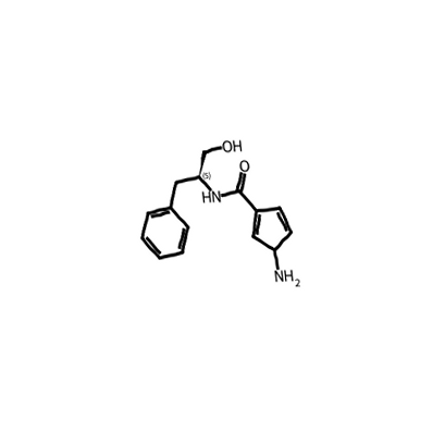 NC1C=CC(C(=O)N[C@H](CO)Cc2ccccc2)=C1